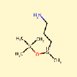 C[SiH](CCCN)O[Si](C)(C)C